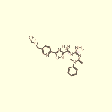 C=C(/N=C(N)\N=C(/N)c1noc(-c2ccc(COCC(F)(F)F)cn2)n1)N(C)c1ccccc1